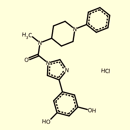 CN(C(=O)n1cnc(-c2cc(O)cc(O)c2)c1)C1CCN(c2ccccc2)CC1.Cl